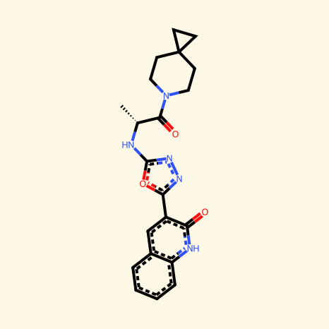 C[C@@H](Nc1nnc(-c2cc3ccccc3[nH]c2=O)o1)C(=O)N1CCC2(CC1)CC2